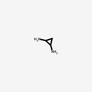 N[C]1CC1N